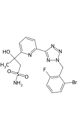 CC(O)(CS(N)(=O)=O)c1cccc(-c2nnn(Cc3c(F)cccc3Br)n2)n1